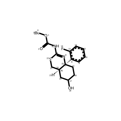 CC(C)(C)OC(=O)NC1=N[C@@]2(c3ccccc3F)CCC(O)C[C@H]2CS1